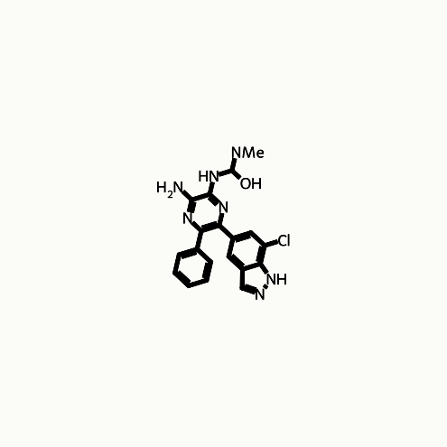 CNC(O)Nc1nc(-c2cc(Cl)c3[nH]ncc3c2)c(-c2ccccc2)nc1N